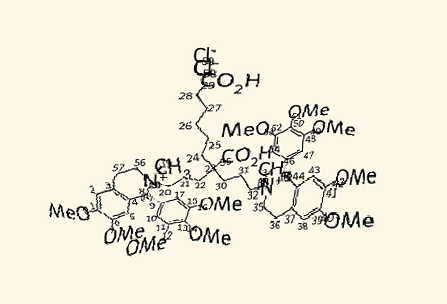 COc1cc2c(cc1OC)[C@@H](c1cc(OC)c(OC)c(OC)c1)[N@@+](C)(CCCC(CCCCCC(=O)O)(CCC[N@+]1(C)CCc3cc(OC)c(OC)cc3[C@H]1c1cc(OC)c(OC)c(OC)c1)C(=O)O)CC2.[Cl-].[Cl-]